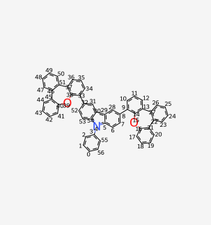 c1ccc(-n2c3ccc(-c4cccc5c4Oc4ccccc4-c4ccccc4-5)cc3c3cc(-c4cccc5c4Oc4ccccc4-c4ccccc4-5)ccc32)cc1